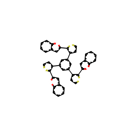 c1ccc2oc(-c3sccc3-c3cc(-c4ccsc4-c4cc5ccccc5o4)cc(-c4ccsc4-c4cc5ccccc5o4)c3)cc2c1